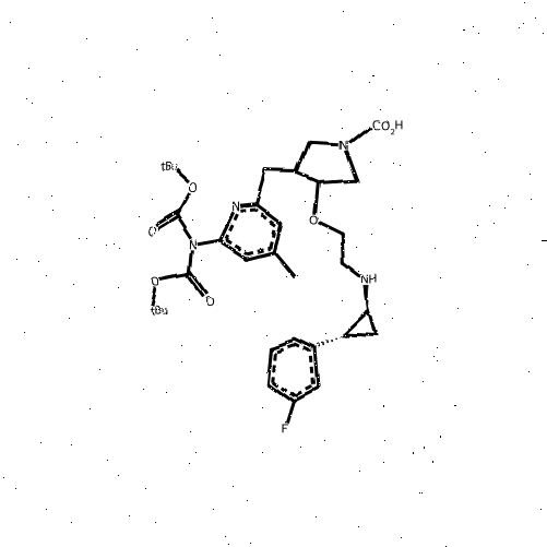 Cc1cc(CC2CN(C(=O)O)CC2OCCN[C@H]2C[C@@H]2c2cccc(F)c2)nc(N(C(=O)OC(C)(C)C)C(=O)OC(C)(C)C)c1